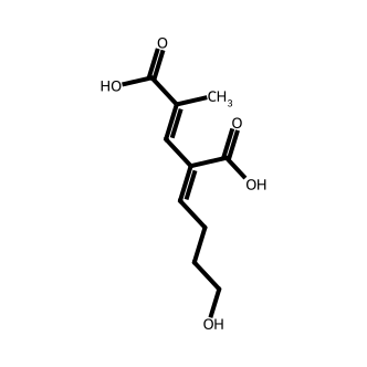 CC(=CC(=CCCCO)C(=O)O)C(=O)O